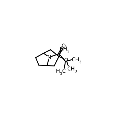 COC1(C)CC2CCC(C1)N2C(=O)C(C)C